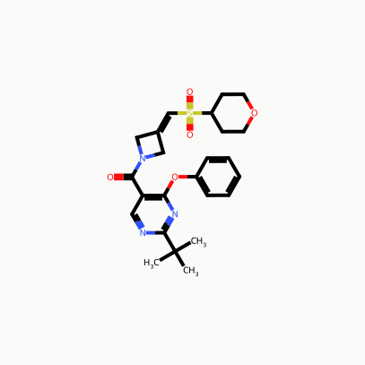 CC(C)(C)c1ncc(C(=O)N2CC(=CS(=O)(=O)C3CCOCC3)C2)c(Oc2ccccc2)n1